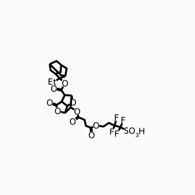 CCC1(OC(=O)C2C3OC4C(OC(=O)C42)C3OC(=O)CCC(=O)OCCC(F)(F)C(F)(F)S(=O)(=O)O)C2CC3CC(C2)CC1C3